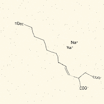 CCCCCCCCCCCCCCCC/C=C/C(CC(=O)[O-])C(=O)[O-].[Na+].[Na+]